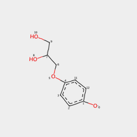 [O]c1ccc(OCC(O)CO)cc1